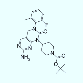 Cc1cccc(F)c1N1Cc2cnc(N)nc2N(C2CCN(C(=O)OC(C)(C)C)CC2)C1=O